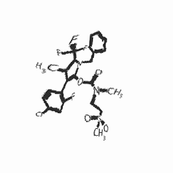 Cc1c(-c2ccc(Cl)cc2F)c(OC(=O)N(C)CCS(C)(=O)=O)n(Cc2ccccc2)c1C(F)(F)F